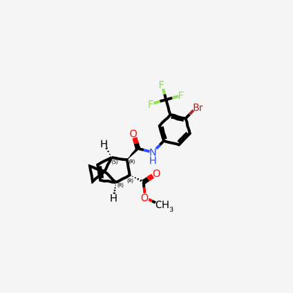 COC(=O)[C@H]1[C@H](C(=O)Nc2ccc(Br)c(C(F)(F)F)c2)[C@@H]2C=C[C@H]1C21CC1